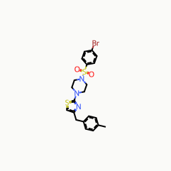 Cc1ccc(Cc2csc(N3CCN(S(=O)(=O)c4ccc(Br)cc4)CC3)n2)cc1